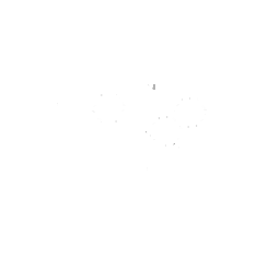 CCc1ccc(C(N)c2nc(C)nc3ccccc23)cc1